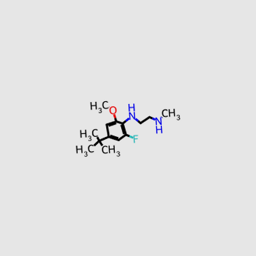 CNCCNc1c(F)cc(C(C)(C)C)cc1OC